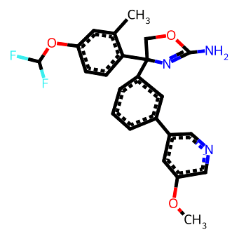 COc1cncc(-c2cccc(C3(c4ccc(OC(F)F)cc4C)COC(N)=N3)c2)c1